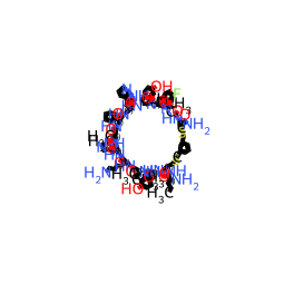 CCC[C@H](N)C(=O)N[C@H]1CSCc2cccc(c2)CSC[C@@H](C(N)=O)NC(=O)CN(C)C(=O)[C@H](Cc2ccc(F)cc2)N(C)C(=O)[C@H](Cc2ccc(O)cc2)NC(=O)[C@H](Cc2c[nH]c3ncccc23)NC(=O)[C@H](c2ccccc2)NC(=O)[C@H](C)N(C)C(=O)[C@H](Cc2cnc[nH]2)NC(=O)[C@H](CCCCN)NC(=O)[C@H](C(C)(C)C)NC(=O)[C@H](Cc2ccc(O)cc2)NC1=O